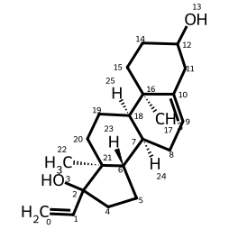 C=CC1(O)CC[C@H]2[C@@H]3CC=C4CC(O)CC[C@]4(C)[C@@H]3CC[C@@]21C